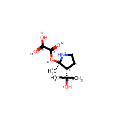 CC(C)(O)[C@H]1CCN[C@]1(C)OC(=O)C(=O)O